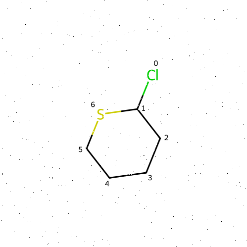 ClC1CCCCS1